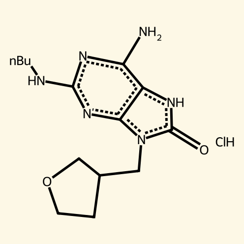 CCCCNc1nc(N)c2[nH]c(=O)n(CC3CCOC3)c2n1.Cl